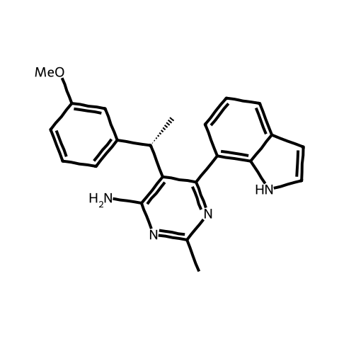 COc1cccc([C@H](C)c2c(N)nc(C)nc2-c2cccc3cc[nH]c23)c1